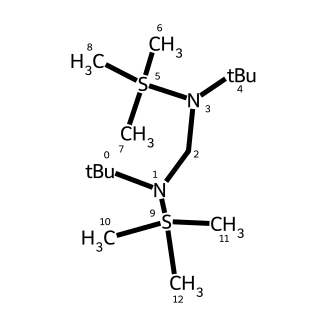 CC(C)(C)N(CN(C(C)(C)C)S(C)(C)C)S(C)(C)C